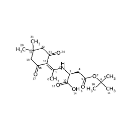 CC(N[C@@H](CC(=O)OC(C)(C)C)C(=O)O)=C1C(=O)CC(C)(C)CC1=O